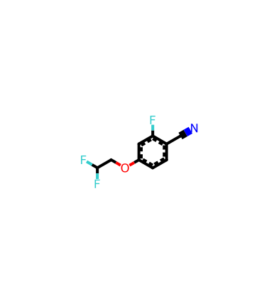 N#Cc1ccc(OCC(F)F)cc1F